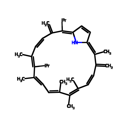 C=C1\C=C/C(C)=C(C)/C(C)=C/C=C(C)/C(C(C)C)=C(C)/C=C\C(=C)/C(C(C)C)=c2/cc/c([nH]2)=C/1C